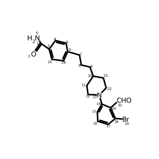 NC(=O)c1ccc(CCCC2CCN(c3cccc(Br)c3C=O)CC2)cc1